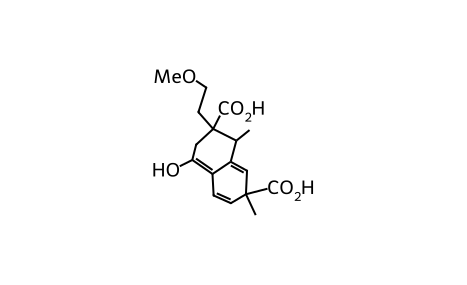 COCCC1(C(=O)O)CC(O)=C2C=CC(C)(C(=O)O)C=C2C1C